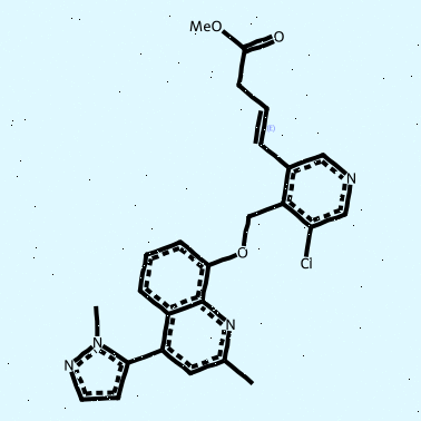 COC(=O)C/C=C/c1cncc(Cl)c1COc1cccc2c(-c3ccnn3C)cc(C)nc12